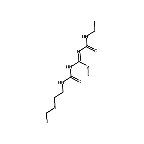 CCNC(=O)N=C(NC(=O)NCCSCC)SC